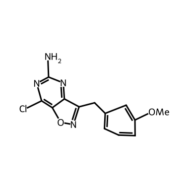 COc1cccc(Cc2noc3c(Cl)nc(N)nc23)c1